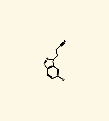 N#CCCn1nnc2ccc(Br)cc21